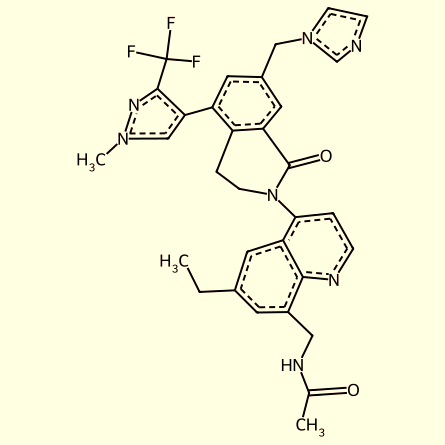 CCc1cc(CNC(C)=O)c2nccc(N3CCc4c(cc(Cn5ccnc5)cc4-c4cn(C)nc4C(F)(F)F)C3=O)c2c1